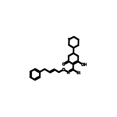 CCC(=NOCC=CCc1ccccc1)C1=C(O)CC(C2CCCSC2)CC1=O